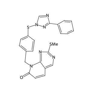 CSc1ncc2ccc(=O)n(Cc3ccc(Sn4cnc(-c5ccccc5)n4)cc3)c2n1